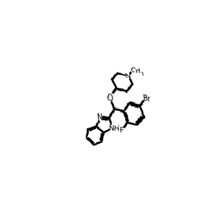 CN1CCC(OC(c2nc3ccccc3[nH]2)c2cc(Br)ccc2F)CC1